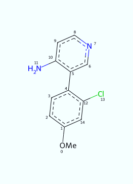 COc1ccc(-c2cnccc2N)c(Cl)c1